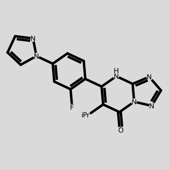 CC(C)c1c(-c2ccc(-n3cccn3)cc2F)[nH]c2ncnn2c1=O